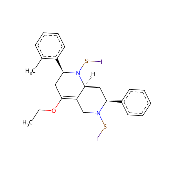 CCOC1=C2CN(SI)[C@H](c3ccccc3)C[C@@H]2N(SI)[C@H](c2ccccc2C)C1